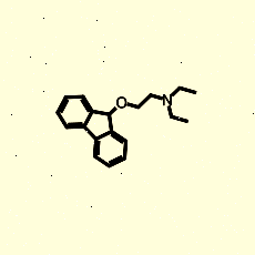 CCN(CC)CCOC1c2ccccc2-c2ccccc21